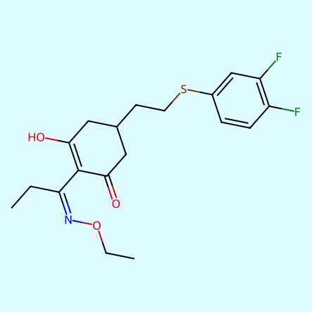 CCO/N=C(/CC)C1=C(O)CC(CCSc2ccc(F)c(F)c2)CC1=O